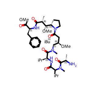 CC[C@H](C)[C@@H]([C@@H](CC(=O)N1CCC[C@H]1[C@H](OC)[C@@H](C)C(=O)N[C@@H](Cc1ccccc1)C(=O)OC)OC)N(C)C(=O)[C@@H](NC(=O)C(C(C)C)N(C)C(=O)[C@H](C)N)C(C)C